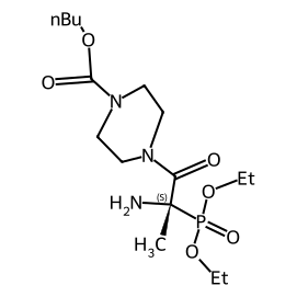 CCCCOC(=O)N1CCN(C(=O)[C@@](C)(N)P(=O)(OCC)OCC)CC1